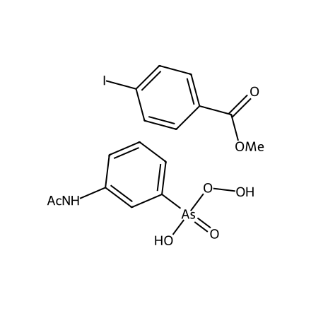 CC(=O)Nc1cccc([As](=O)(O)OO)c1.COC(=O)c1ccc(I)cc1